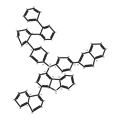 c1ccc(-c2ccccc2-c2ccccc2-c2ccc(N(c3ccc(-c4ccc5ccccc5c4)cc3)c3ccc(-c4cccc5ccccc45)c4sc5ccccc5c34)cc2)cc1